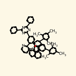 Cc1cc(C)c(-c2ccc3c(c2)c2ccccc2n3-c2ccc(-c3nc(-c4ccccc4)nc(-c4ccccc4)n3)cc2-c2ncccc2-n2c3ccccc3c3cc(-c4c(C)cc(C)cc4C)ccc32)c(C)c1